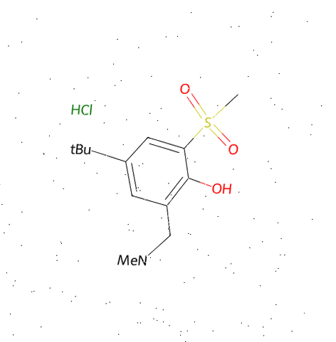 CNCc1cc(C(C)(C)C)cc(S(C)(=O)=O)c1O.Cl